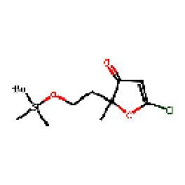 CC1(CCO[Si](C)(C)C(C)(C)C)OC(Cl)=CC1=O